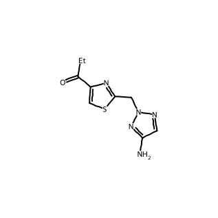 CCC(=O)c1csc(Cn2ncc(N)n2)n1